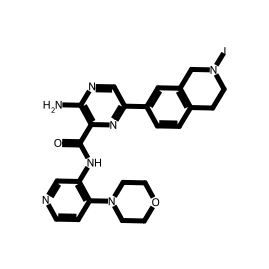 Nc1ncc(-c2ccc3c(c2)CN(I)CC3)nc1C(=O)Nc1cnccc1N1CCOCC1